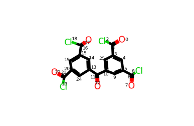 O=C(Cl)c1cc(C(=O)Cl)cc(C(=O)c2cc(C(=O)Cl)cc(C(=O)Cl)c2)c1